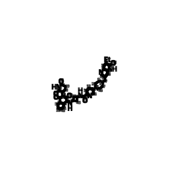 CCc1cc2ncc(CN3CCN(c4ccc(C(=O)NC5CC(NC6C(=O)N([C@@H]7CCC(=O)NC7=O)C(=O)c7ccccc76)C5)nc4)CC3)cc2[nH]c1=O